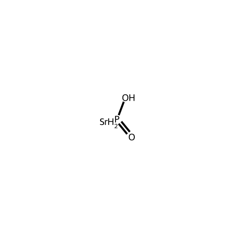 O=PO.[SrH2]